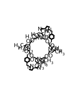 CC(C)C[C@H]1C(=O)O[C@H](Cc2ccc(Cn3ccc(C#N)n3)cc2)C(=O)N(C)[C@@H](CC(C)C)C(=O)O[C@H](C)C(=O)N(C)[C@@H](CC(C)C)C(=O)O[C@H](Cc2ccc(Cn3ccc(C#N)n3)cc2)C(=O)N(C)[C@@H](CC(C)C)C(=O)O[C@H](C)C(=O)N1C